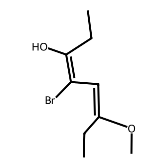 CC/C(O)=C(Br)\C=C(/CC)OC